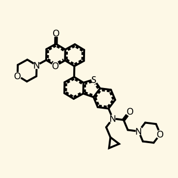 O=C(CN1CCOCC1)N(CC1CC1)c1ccc2sc3c(-c4cccc5c(=O)cc(N6CCOCC6)oc45)cccc3c2c1